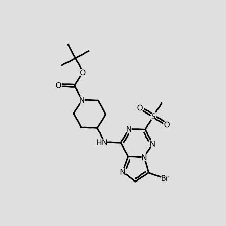 CC(C)(C)OC(=O)N1CCC(Nc2nc(S(C)(=O)=O)nn3c(Br)cnc23)CC1